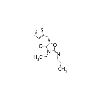 CCC/N=C1/O/C(=C/c2cccs2)C(=O)N1CC